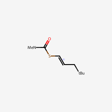 CNC(=O)S/C=C/CC(C)(C)C